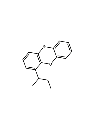 CCC(C)c1cccc2c1Oc1ccccc1S2